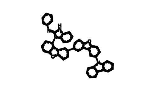 c1ccc(/N=c2\[nH]c3ccccc3n2-c2cccc3oc4ccc(-c5ccc6oc7ccc(-n8c9ccccc9c9ccccc98)cc7c6c5)cc4c23)cc1